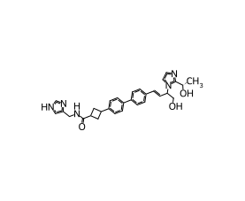 C[C@H](O)c1nccn1C(/C=C/c1ccc(-c2ccc(C3CC(C(=O)NCc4c[nH]cn4)C3)cc2)cc1)CO